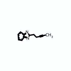 CC#CCCC1N=c2ccccc2=N1